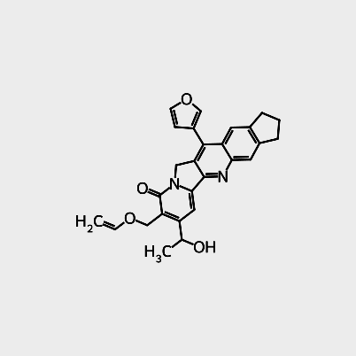 C=COCc1c(C(C)O)cc2n(c1=O)Cc1c-2nc2cc3c(cc2c1-c1ccoc1)CCC3